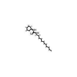 CCCCCCCCCCCCNC(=[Se])NC1CCCCC1